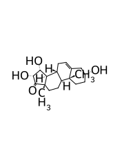 C[C@]12CC[C@@H](O)CC1=CC[C@H]1[C@@H]3[C@@H](O)[C@@H](O)C(=O)[C@@]3(C)CC[C@@H]12